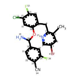 Cc1cc(Br)cnc1Cc1cc(F)c(Cl)cc1OC(N)c1ccc(C#N)c(F)c1